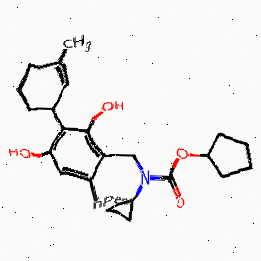 CCCCCc1cc(O)c(C2C=C(C)CCC2)c(O)c1CN(C(=O)OC1CCCC1)C1CC1